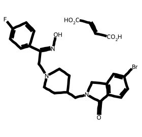 O=C(O)C=CC(=O)O.O=C1c2ccc(Br)cc2CN1CC1CCN(CC(=NO)c2ccc(F)cc2)CC1